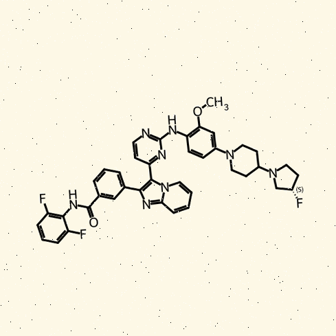 COc1cc(N2CCC(N3CC[C@H](F)C3)CC2)ccc1Nc1nccc(-c2c(-c3cccc(C(=O)Nc4c(F)cccc4F)c3)nc3ccccn23)n1